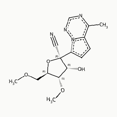 COC[C@H]1O[C@@](C#N)(c2ccc3c(C)ncnn23)[C@H](O)[C@@H]1OC